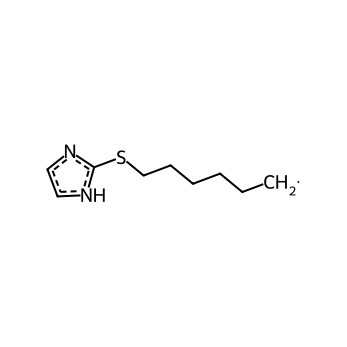 [CH2]CCCCCSc1ncc[nH]1